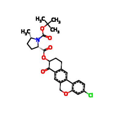 C[C@H]1CC[C@@H](C(=O)OC2CCc3cc4c(cc3C2=O)COc2cc(Cl)ccc2-4)N1C(=O)OC(C)(C)C